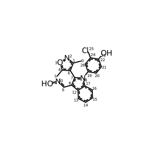 Cc1noc(C)c1-c1c(C=NO)c2ccccc2n1-c1ccc(O)c(Cl)c1